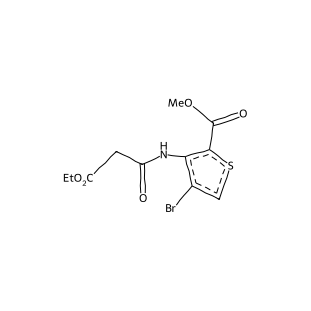 CCOC(=O)CC(=O)Nc1c(Br)csc1C(=O)OC